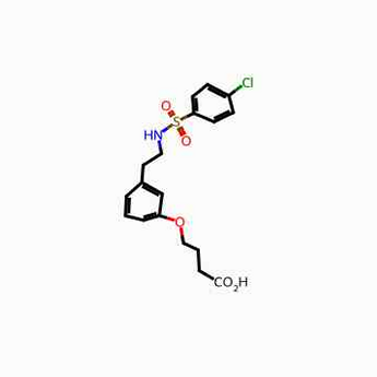 O=C(O)CCCOc1cccc(CCNS(=O)(=O)c2ccc(Cl)cc2)c1